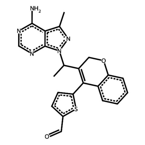 Cc1nn(C(C)C2=C(c3ccc(C=O)s3)c3ccccc3OC2)c2ncnc(N)c12